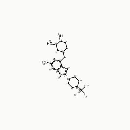 Cc1nc(CN2CC[C@@H](O)[C@H](O)C2)c2nc([C@H]3CC[C@H](C(F)(F)F)CC3)sc2n1